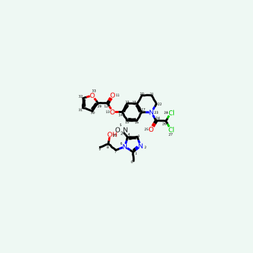 Cc1ncc([N+](=O)[O-])n1CC(C)O.O=C(Oc1ccc2c(c1)CCCN2C(=O)C(Cl)Cl)c1ccco1